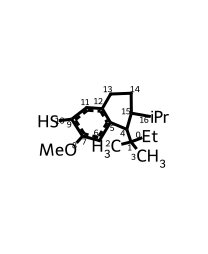 CCC(C)(C)C1c2cc(OC)c(S)cc2CCC1C(C)C